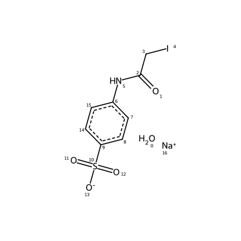 O.O=C(CI)Nc1ccc(S(=O)(=O)[O-])cc1.[Na+]